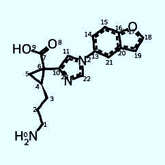 NCCC[C@H]1CC1(C(=O)O)c1cn(-c2ccc3occc3c2)cn1